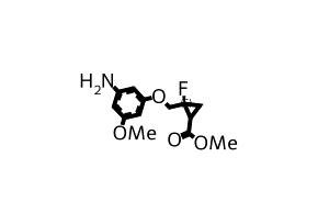 COC(=O)C1C[C@@]1(F)COc1cc(N)cc(OC)c1